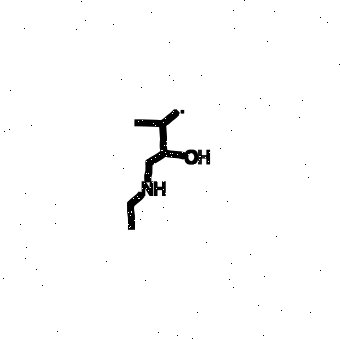 [CH2]C(C)C(O)CNCC